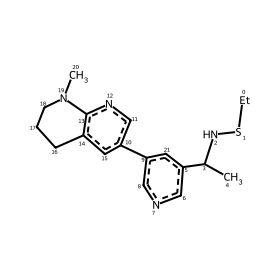 CCSNC(C)c1cncc(-c2cnc3c(c2)CCCN3C)c1